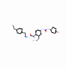 CC(=O)N1CCc2cc(NC(=O)Nc3ccc(O)cc3)ccc2C1C(=O)NC(Cc1ccc(CCC(=O)O)cc1)C(=O)O